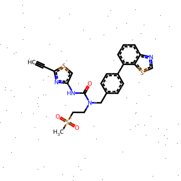 C#Cc1nc(NC(=O)N(CCS(C)(=O)=O)Cc2ccc(-c3cccc4ncsc34)cc2)cs1